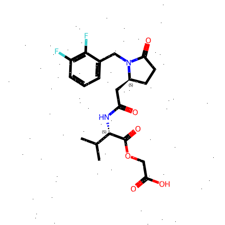 CC(C)[C@H](NC(=O)C[C@@H]1CCC(=O)N1Cc1cccc(F)c1F)C(=O)OCC(=O)O